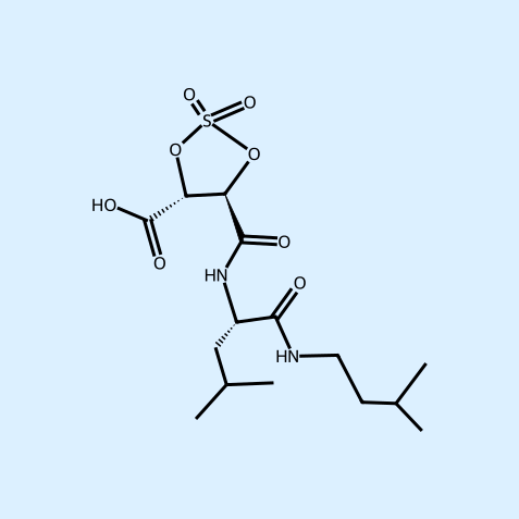 CC(C)CCNC(=O)[C@H](CC(C)C)NC(=O)[C@@H]1OS(=O)(=O)O[C@H]1C(=O)O